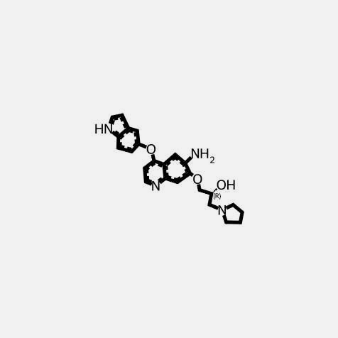 Nc1cc2c(Oc3ccc4[nH]ccc4c3)ccnc2cc1OC[C@H](O)CN1CCCC1